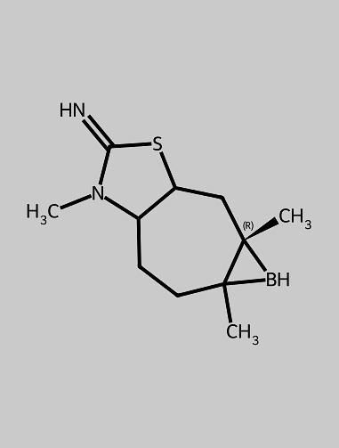 CN1C(=N)SC2C[C@]3(C)BC3(C)CCC21